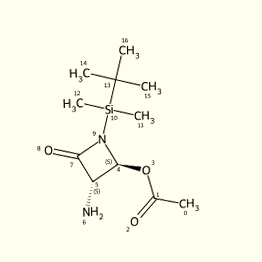 CC(=O)O[C@H]1[C@H](N)C(=O)N1[Si](C)(C)C(C)(C)C